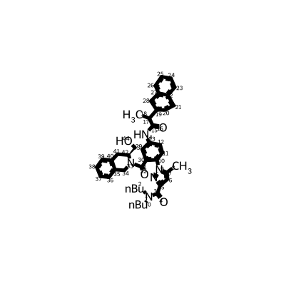 CCCCN(CCCC)C(=O)c1cc(C)n(-c2ccc(NC(=O)C(C)c3ccc4ccccc4c3)cc2C(=O)N2Cc3ccccc3C[C@H]2CO)n1